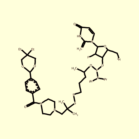 [2H]CC1OC(N2C=CC(=O)NC2=C)C(F)C1OP(OC(C)CCCSSC(C)(C)CN1CCN(C(=O)c2ccc(C3OCC(CC)(CC)CO3)cc2)CC1)N(C(C)C)C(C)C